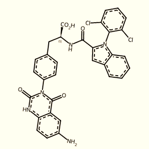 Nc1ccc2[nH]c(=O)n(-c3ccc(C[C@H](NC(=O)c4cc5ccccc5n4-c4c(Cl)cccc4Cl)C(=O)O)cc3)c(=O)c2c1